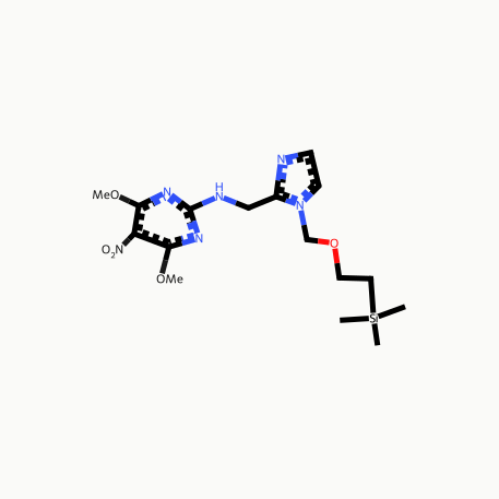 COc1nc(NCc2nccn2COCC[Si](C)(C)C)nc(OC)c1[N+](=O)[O-]